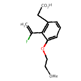 C=C(F)c1c(CC(=O)O)cccc1OCCOC